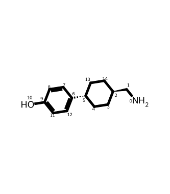 NC[C@H]1CC[C@H](c2ccc(O)cc2)CC1